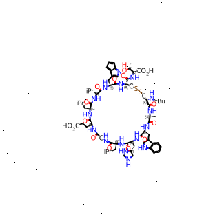 CC(C)C[C@@H]1NC(=O)[C@H](C[C@@H]2CNCN2)NC(=O)[C@H](CC2CNc3ccccc32)NC(=O)[C@H](C)NC(=O)[C@@H](NC(C)(C)C)CSSC[C@@H](C(=O)N[C@H](C(=O)O)[C@@H](C)O)NC(=O)[C@H](CC2=CN=C3C=CC=C23)NC(=O)[C@H](C(C)C)NC(=O)[C@H](CC(C)C)NC(=O)[C@H](CCC(=O)O)NC(=O)CNC1=O